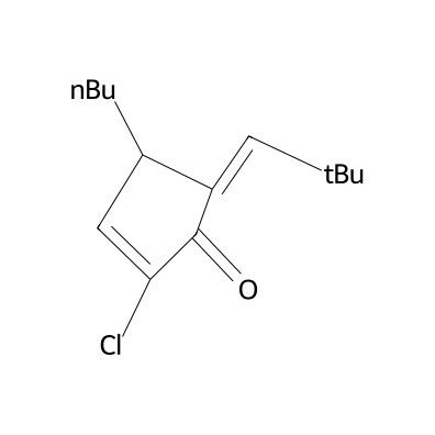 CCCCC1C=C(Cl)C(=O)C1=CC(C)(C)C